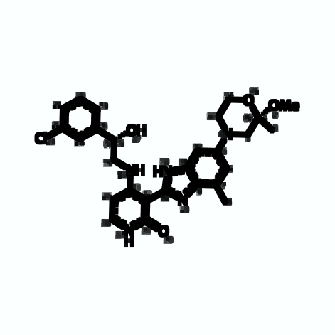 CO[C@]1(C)CN(c2cc(C)c3nc(-c4c(NC[C@@H](O)c5cccc(Cl)c5)cc[nH]c4=O)[nH]c3c2)CCO1